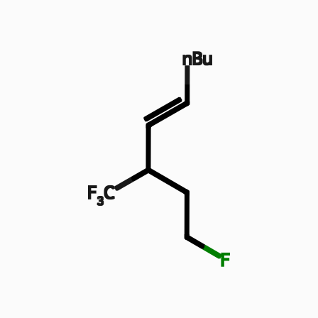 CCCCC=CC(CCF)C(F)(F)F